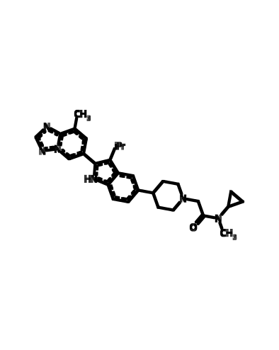 Cc1cc(-c2[nH]c3ccc(C4CCN(CC(=O)N(C)C5CC5)CC4)cc3c2C(C)C)cn2ncnc12